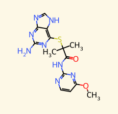 COc1ccnc(NC(=O)C(C)(C)Sc2nc(N)nc3nc[nH]c23)n1